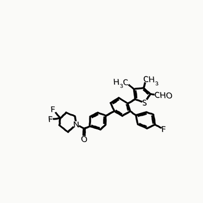 Cc1c(C=O)sc(-c2ccc(-c3ccc(C(=O)N4CCC(F)(F)CC4)cc3)cc2-c2ccc(F)cc2)c1C